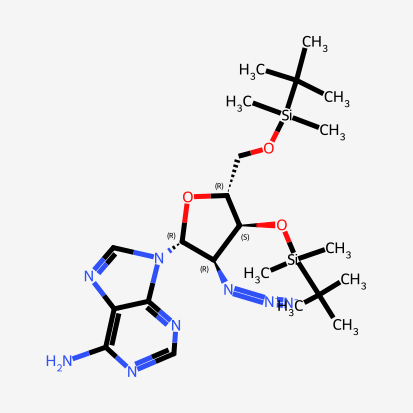 CC(C)(C)[Si](C)(C)OC[C@H]1O[C@@H](n2cnc3c(N)ncnc32)[C@H](N=[N+]=[N-])[C@@H]1O[Si](C)(C)C(C)(C)C